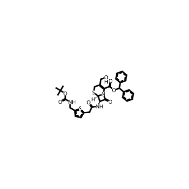 CC(C)(C)OC(=O)NCc1ccc(CC(=O)N[C@@H]2C(=O)N3C(C(=O)OC(c4ccccc4)c4ccccc4)=C(CO)CS[C@H]23)s1